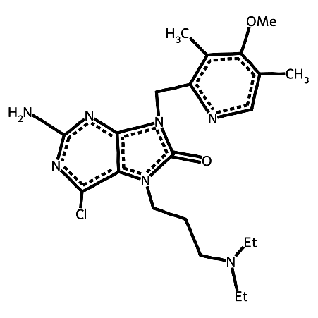 CCN(CC)CCCn1c(=O)n(Cc2ncc(C)c(OC)c2C)c2nc(N)nc(Cl)c21